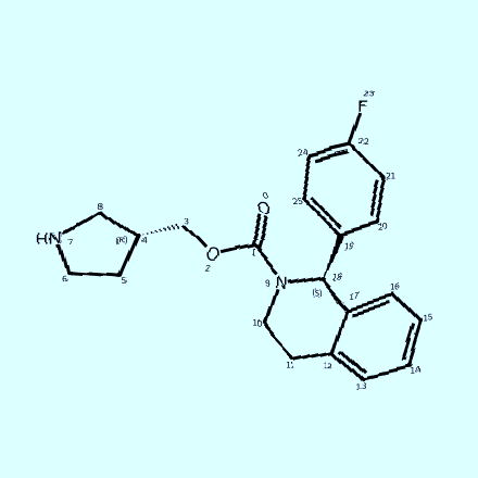 O=C(OC[C@@H]1CCNC1)N1CCc2ccccc2[C@@H]1c1ccc(F)cc1